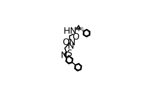 O=C(Cc1nnc(Cc2nc3ccc(-c4ccccc4)cc3s2)o1)N[C@H]1C[C@@H]1c1ccccc1